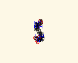 COC(=O)NC(C(=O)N1[C@@H]2CC[C@@H](C2)[C@H]1c1nc2ccc3cc(-c4ccc5c(ccc6nc([C@@H]7CCCN7C(=O)[C@@H](NC(=O)OC)C(C)C)[nH]c65)c4)ccc3c2[nH]1)C1CCOCC1